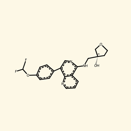 O[C@@]1(CNc2ncc(-c3ccc(OC(F)F)cc3)c3ncccc23)CCOC1